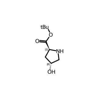 CC(C)(C)OC(=O)[C@@H]1C[C@@H](O)CN1